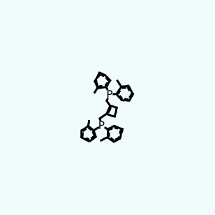 Cc1ccccc1P(CC1=C(CP(c2ccccc2C)c2ccccc2C)CC1)c1ccccc1C